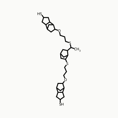 CC(SCCCOC1CC2CC1C1CC(S)CC21)C1CC2CC(SCCCOC3CC4CC3C3CC(S)CC43)C1C2